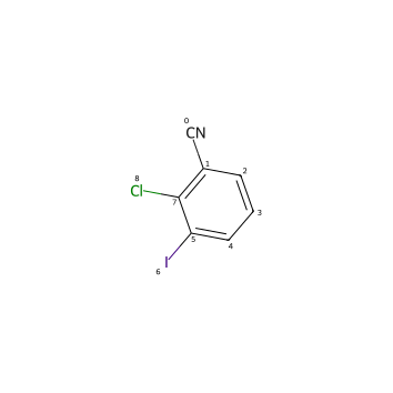 N#Cc1cccc(I)c1Cl